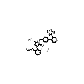 CCCCc1cn(-c2c(OC)cccc2C(=O)O)c(=O)n1Cc1ccc(-c2ccncc2-c2nnn[nH]2)cc1